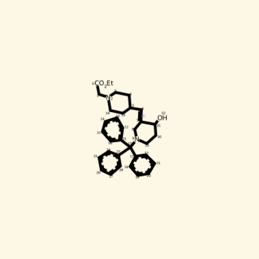 CCOC(=O)CN1CCC(/C=C2\CN(C(c3ccccc3)(c3ccccc3)c3ccccc3)CCC2O)CC1